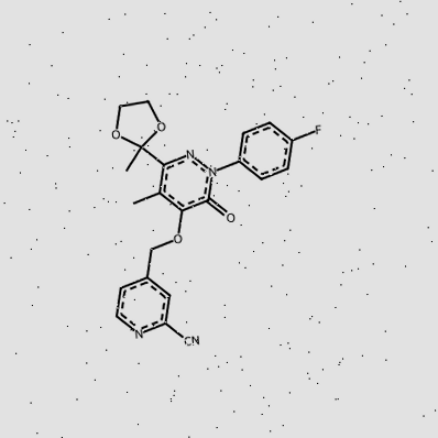 Cc1c(C2(C)OCCO2)nn(-c2ccc(F)cc2)c(=O)c1OCc1ccnc(C#N)c1